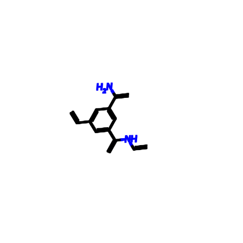 C=CNC(=C)c1cc(C=C)cc(C(=C)N)c1